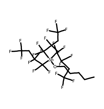 CCCCC[O][Sn]([C](F)(F)C(F)(F)CC(F)(F)F)([C](F)(F)C(F)(F)CC(F)(F)F)[C](F)(F)C(F)(F)CC(F)(F)F